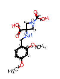 COc1ccc(CNC2(C(=O)O)CN(C(=O)O)C2)c(OC)c1